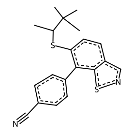 CC(Sc1ccc2cnsc2c1-c1ccc(C#N)cc1)C(C)(C)C